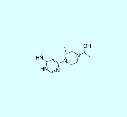 CNC1C=C(N2CCN(C(C)O)CC2(C)C)N=CN1